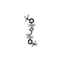 O=S(=O)(NCC1CC(S(=O)(=O)c2cccc(C(F)(F)F)c2)C1)c1cccc(C(F)(F)F)c1